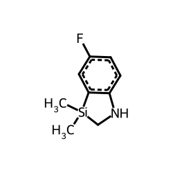 C[Si]1(C)CNc2ccc(F)cc21